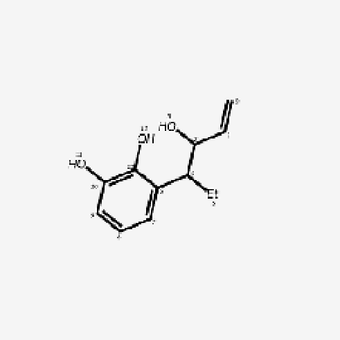 C=CC(O)C(CC)c1cccc(O)c1O